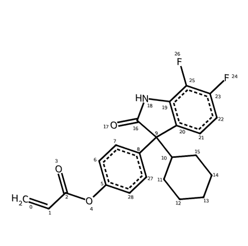 C=CC(=O)Oc1ccc(C2(C3CCCCC3)C(=O)Nc3c2ccc(F)c3F)cc1